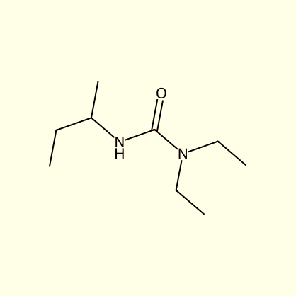 CCC(C)NC(=O)N(CC)CC